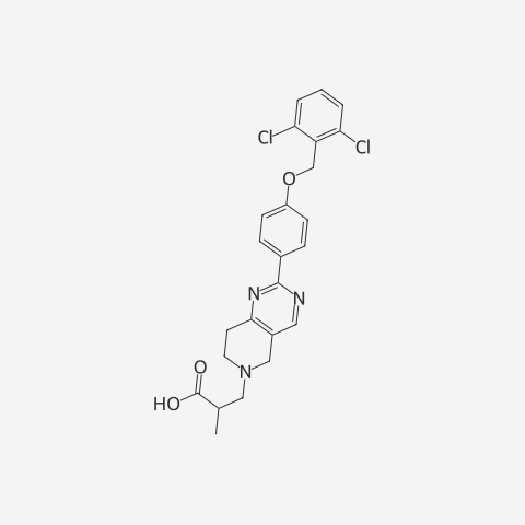 CC(CN1CCc2nc(-c3ccc(OCc4c(Cl)cccc4Cl)cc3)ncc2C1)C(=O)O